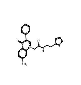 Cc1ccc2c(=O)c(-c3ccccc3)cn(CC(=O)NCCc3cccs3)c2c1